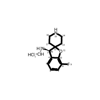 Cl.Cl.N[C@@H]1c2cccc(F)c2OC12CCNCC2